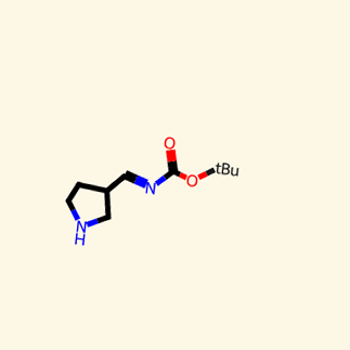 CC(C)(C)OC(=O)/N=C/C1CCNC1